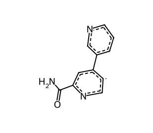 NC(=O)c1cc(-c2cccnc2)[c]cn1